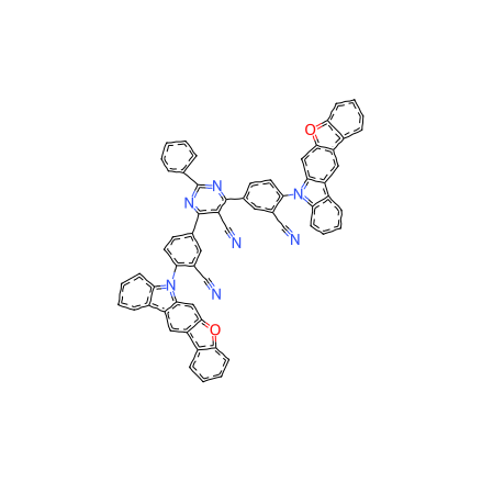 N#Cc1cc(-c2nc(-c3ccccc3)nc(-c3ccc(-n4c5ccccc5c5cc6c(cc54)oc4ccccc46)c(C#N)c3)c2C#N)ccc1-n1c2ccccc2c2cc3c(cc21)oc1ccccc13